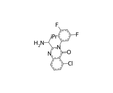 CC(C)C(N)c1nc2cccc(Cl)c2c(=O)n1-c1cc(F)cc(F)c1